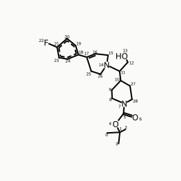 CC(C)(C)OC(=O)N1CCC(C(CO)N2CC=C(c3ccc(F)cc3)CC2)CC1